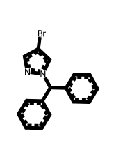 Brc1cnn(C(c2ccccc2)c2ccccc2)c1